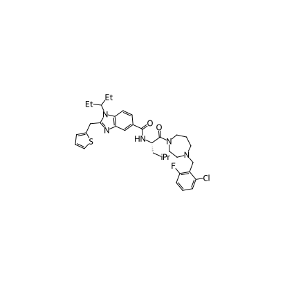 CCC(CC)n1c(Cc2cccs2)nc2cc(C(=O)N[C@@H](CC(C)C)C(=O)N3CCCN(Cc4c(F)cccc4Cl)CC3)ccc21